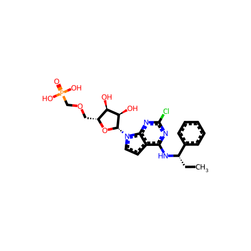 CC[C@H](Nc1nc(Cl)nc2c1ccn2[C@@H]1O[C@H](COCP(=O)(O)O)[C@@H](O)[C@H]1O)c1ccccc1